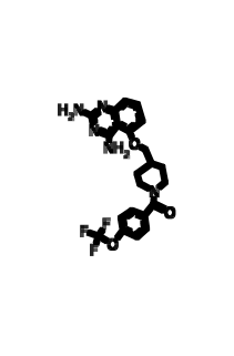 Nc1nc(N)c2c(OCC3CCN(C(=O)c4ccc(OC(F)(F)F)cc4)CC3)cccc2n1